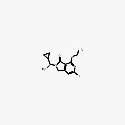 CCOc1nc(Cl)cc2c1C(=O)N([C@@H](C)C1CC1)C2